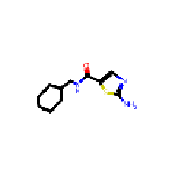 Nc1ncc(C(=O)NCC2CCCCC2)s1